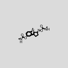 CNC(=O)ON=C1CCc2c1n(C)c1ccc(OC(=O)NC)cc21